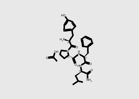 CC(=O)O.CC(C)C[C@@H](NC(=O)[C@H](Cc1ccccc1)NC(=O)[C@@H]1CCCN1C(=O)[C@@H](N)Cc1ccc(O)cc1)C(N)=O